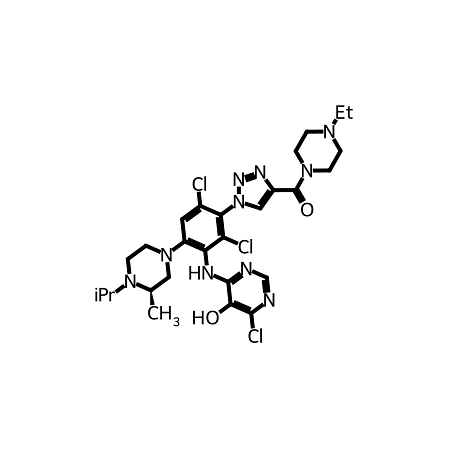 CCN1CCN(C(=O)c2cn(-c3c(Cl)cc(N4CCN(C(C)C)[C@H](C)C4)c(Nc4ncnc(Cl)c4O)c3Cl)nn2)CC1